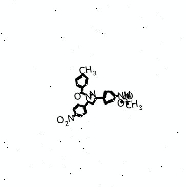 Cc1ccc(C(=O)N2N=C(c3ccc(NS(C)(=O)=O)cc3)CC2c2ccc([N+](=O)[O-])cc2)cc1